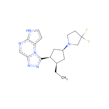 CC[C@@H]1C[C@H](N2CCC(F)(F)C2)C[C@@H]1c1nnc2cnc3[nH]ccc3n12